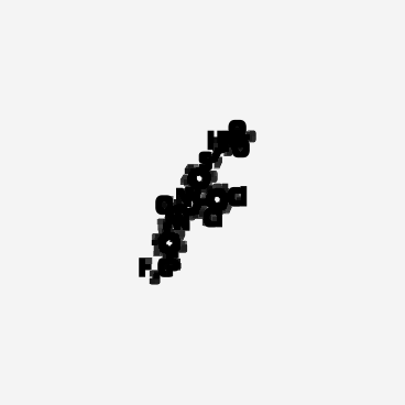 CS(=O)(=O)NCCCSc1ccc(-n2nc3c(=O)n(Cc4ccc(SC(F)(F)F)cc4)nc-3cc2-c2ccc(Cl)cc2Cl)cc1